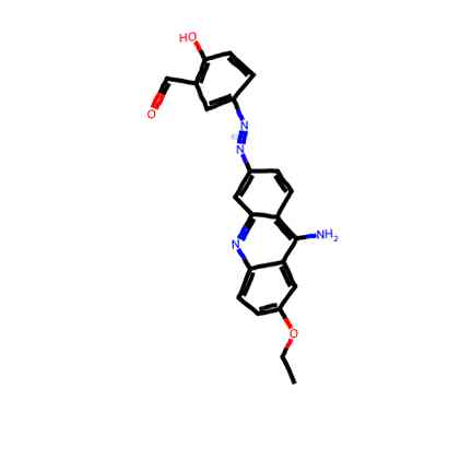 CCOc1ccc2nc3cc(/N=N/c4ccc(O)c(C=O)c4)ccc3c(N)c2c1